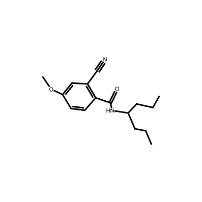 CCCC(CCC)NC(=O)c1ccc(OC)cc1C#N